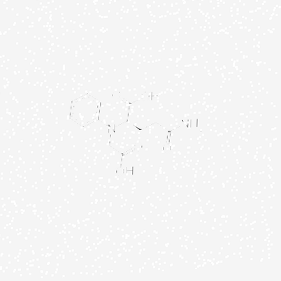 NC(=O)CC[C@H](C(=O)O)N(CC(=O)O)c1ccccc1